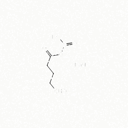 O=CCCCC(=O)OS(=O)O.[NaH]